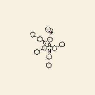 c1ccc(-c2ccc(N3c4ccc(-c5ccccc5)cc4B4c5ccc(N6C7CC8CC(C7)CC6C8)cc5N(c5ccc(-c6ccccc6)cc5)c5cc(-c6ccccc6)cc3c54)cc2)cc1